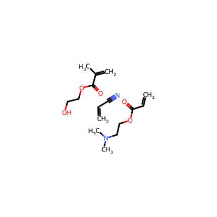 C=C(C)C(=O)OCCO.C=CC#N.C=CC(=O)OCCN(C)C